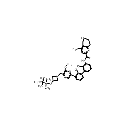 COc1nc(-c2cccc(-c3cccc(NC(=O)c4cc(C)c5c(n4)CCNC5)c3Cl)c2Cl)cnc1CN1CC(O[Si](C)(C)C(C)(C)C)C1